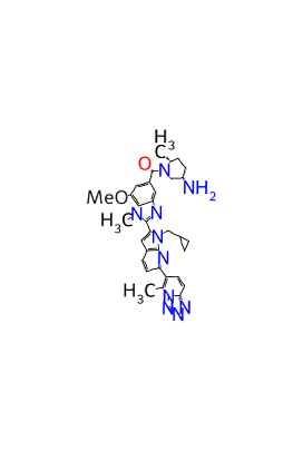 COc1cc(C(=O)N2C[C@H](N)CC[C@@H]2C)cc2nc(-c3cc4ccc(-c5ccc6nnnn6c5C)nc4n3CC3CC3)n(C)c12